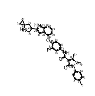 Cc1ccc(-n2c(=O)c(C(=O)Nc3ccc(Oc4ccnc5[nH]c(C6CNC7(CC7)C6)cc45)c(F)c3)c(C)n2C)cc1